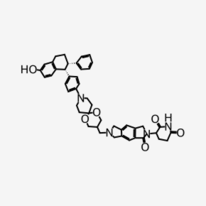 O=C1CCC(N2Cc3cc4c(cc3C2=O)CN(CC2COC3(CCN(c5ccc([C@@H]6c7ccc(O)cc7CC[C@@H]6c6ccccc6)cc5)CC3)OC2)C4)C(=O)N1